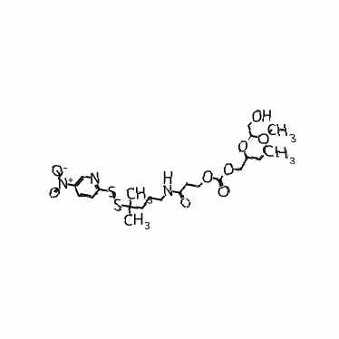 CCC(COC(=O)OCCC(=O)NCCCC(C)(C)SSc1ccc([N+](=O)[O-])cn1)OC(CO)OC